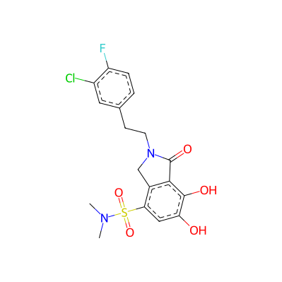 CN(C)S(=O)(=O)c1cc(O)c(O)c2c1CN(CCc1ccc(F)c(Cl)c1)C2=O